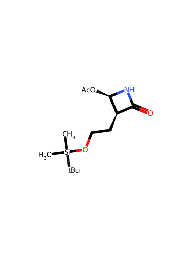 CC(=O)O[C@H]1NC(=O)[C@H]1CCO[Si](C)(C)C(C)(C)C